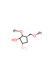 B[C@@H]1C[C@H](COC(C)C)C(OC(C)C)C1O